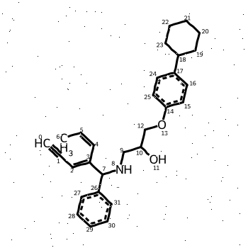 C#C/C=C(\C=C/C)C(NCC(O)COc1ccc(C2CCCCC2)cc1)c1ccccc1